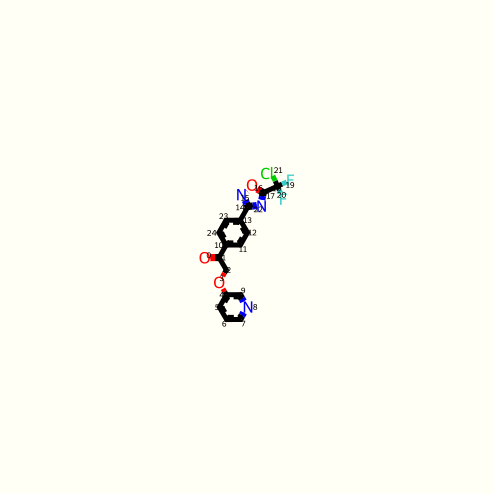 O=C(COc1cccnc1)c1ccc(-c2noc(C(F)(F)Cl)n2)cc1